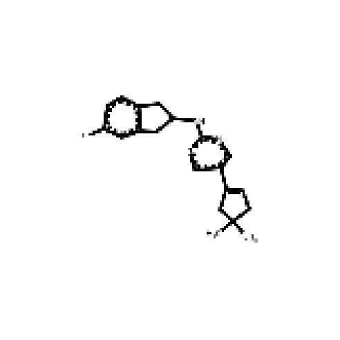 CC1(C)CC=C(c2cnc(NC3Cc4ccc(Cl)cc4C3)nc2)C1